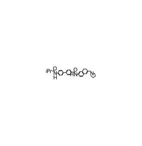 CC(C)C(=O)Nc1ccc(-c2ccc(C(=O)Nc3ccc4c(c3)CCC(CN3CCCC3)=C4)cc2)cc1